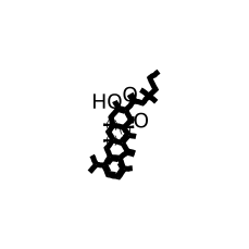 C=C1C2=C(C)[C@@]3(C)C(=O)C(C(=O)CC(C)(C)CCC)=C(O)C[C@@]3(C)C[C@@]2(C)Cc2c(C(C)C)ccc(C)c21